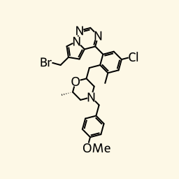 COc1ccc(CN2CC(Cc3c(C)cc(Cl)cc3-c3ncnn4cc(CBr)cc34)O[C@@H](C)C2)cc1